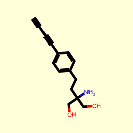 C#CC#Cc1ccc(CCC(N)(CO)CO)cc1